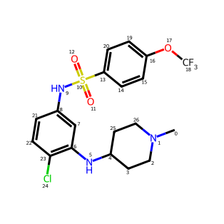 CN1CCC(Nc2cc(NS(=O)(=O)c3ccc(OC(F)(F)F)cc3)ccc2Cl)CC1